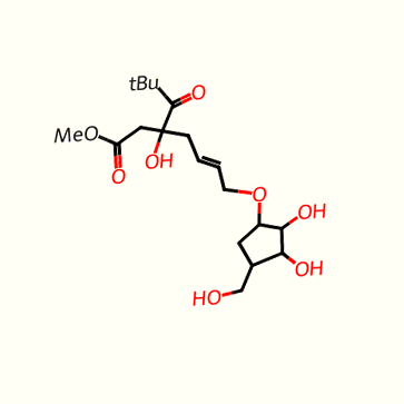 COC(=O)CC(O)(C/C=C/COC1CC(CO)C(O)C1O)C(=O)C(C)(C)C